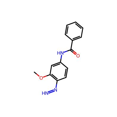 COc1cc(NC(=O)c2ccccc2)ccc1N=N